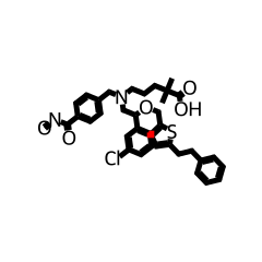 CC(C)(CCCN(Cc1ccc(C(=O)N=O)cc1)CC(OCc1ccc(CCc2ccccc2)s1)c1cccc(Cl)c1)C(=O)O